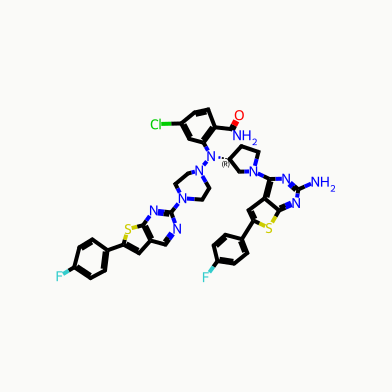 NC(=O)c1ccc(Cl)cc1N([C@@H]1CCN(c2nc(N)nc3sc(-c4ccc(F)cc4)cc23)C1)N1CCN(c2ncc3cc(-c4ccc(F)cc4)sc3n2)CC1